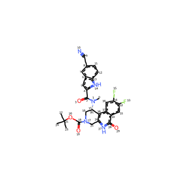 CN(C(=O)c1cc2cc(C#N)ccc2[nH]1)[C@H]1CN(C(=O)OC(C)(C)C)Cc2[nH]c(=O)c3cc(F)c(F)cc3c21